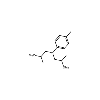 COC(C)CN(CC(C)OC)c1ccc(C)cc1